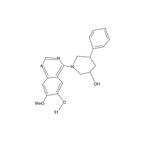 CCOc1cc2c(N3CC(O)CC(c4ccccc4)C3)ncnc2cc1OC